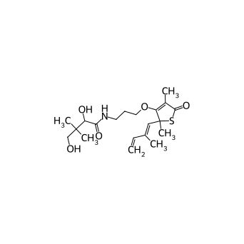 C=C/C(C)=C/C1(C)SC(=O)C(C)=C1OCCCNC(=O)C(O)C(C)(C)CO